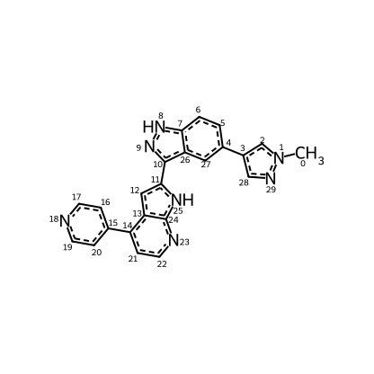 Cn1cc(-c2ccc3[nH]nc(-c4cc5c(-c6ccncc6)ccnc5[nH]4)c3c2)cn1